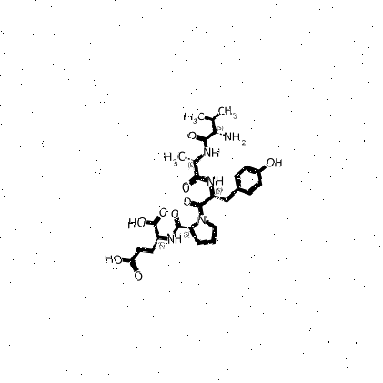 CC(C)[C@H](N)C(=O)N[C@@H](C)C(=O)N[C@@H](Cc1ccc(O)cc1)C(=O)N1CCC[C@H]1C(=O)N[C@@H](CCC(=O)O)C(=O)O